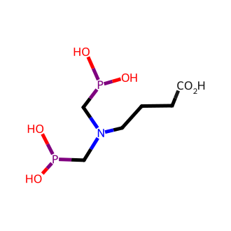 O=C(O)CCCN(CP(O)O)CP(O)O